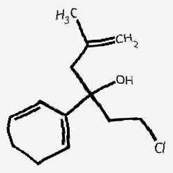 C=C(C)CC(O)(CCCl)C1=CCCC=C1